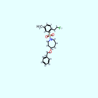 Cc1ccc(CCF)c(S(=O)(=O)N2CCCC(OCc3ccccc3)CC2)c1